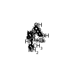 Cc1nc(N)ccc1CNC(=O)[C@@H]1CCc2cnc(NCC(c3ccc(O)cc3F)c3ccc(O)cc3F)c(=O)n21.Cl.Cl